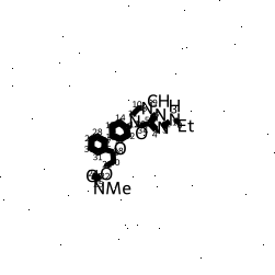 CCNc1ncc2c(n1)N(C)CCN(c1cccc(OC(CCOC(=O)NC)c3ccccc3)c1)C2=O